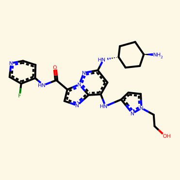 N[C@H]1CC[C@H](Nc2cc(Nc3ccn(CCO)n3)c3ncc(C(=O)Nc4ccncc4F)n3n2)CC1